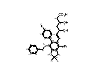 CC(C)c1c(/C=C/C(O)CC(O)CC(=O)O)c(-c2ccc(F)cc2)c(OCc2cccnc2)c2c1CC(C)(C)O2